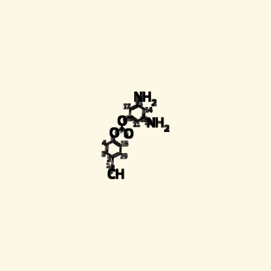 C#Cc1ccc(OC(=O)Oc2cc(N)cc(N)c2)cc1